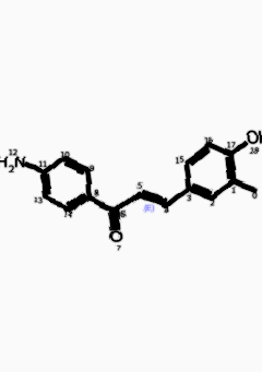 Cc1cc(/C=C/C(=O)c2ccc(N)cc2)ccc1O